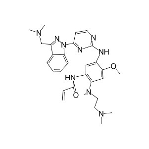 C=CC(=O)Nc1cc(Nc2nccc(-n3nc(CN(C)C)c4ccccc43)n2)c(OC)cc1N(C)CCN(C)C